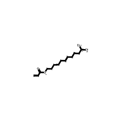 C=CC(=O)OCCCCCCCCCCC(CC)CC